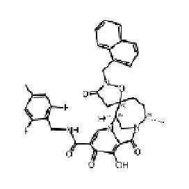 Cc1cc(F)c(CNC(=O)c2cn3c(c(O)c2=O)C(=O)N2C[C@@H]3[C@]3(CC[C@@H]2C)CC(=O)N(Cc2cccc4ccccc24)O3)c(F)c1